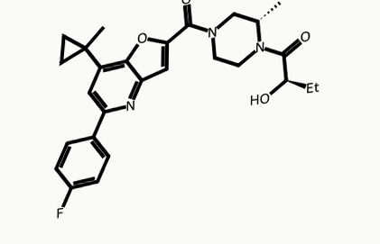 CC[C@@H](O)C(=O)N1CCN(C(=O)c2cc3nc(-c4ccc(F)cc4)cc(C4(C)CC4)c3o2)C[C@@H]1C